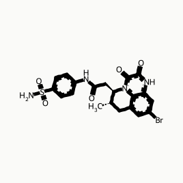 C[C@H]1Cc2cc(Br)cc3[nH]c(=O)c(=O)n(c23)[C@@H]1CC(=O)Nc1ccc(S(N)(=O)=O)cc1